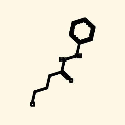 O=C(CCCCl)NNc1ccccc1